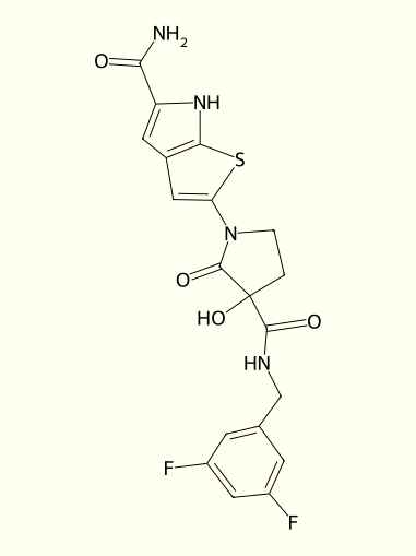 NC(=O)c1cc2cc(N3CCC(O)(C(=O)NCc4cc(F)cc(F)c4)C3=O)sc2[nH]1